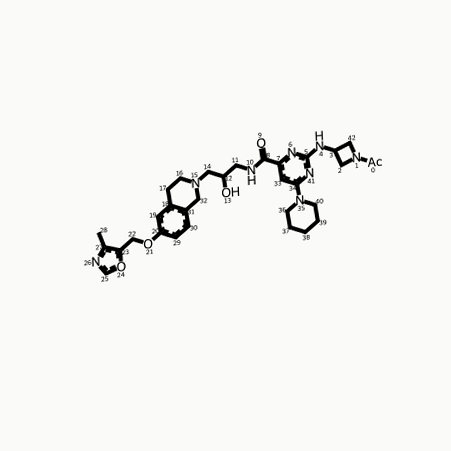 CC(=O)N1CC(Nc2nc(C(=O)NCC(O)CN3CCc4cc(OCc5ocnc5C)ccc4C3)cc(N3CCCCC3)n2)C1